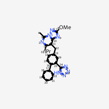 CCCc1nc(C)n2nc(OC)nc2c1Cc1ccc(-c2ccccc2)c(-c2nnn[nH]2)c1